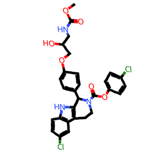 COC(=O)NCC(O)COc1ccc(C2c3[nH]c4ccc(Cl)cc4c3CCN2C(=O)Oc2ccc(Cl)cc2)cc1